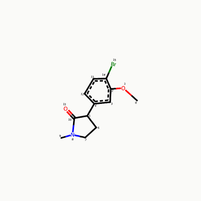 COc1cc(C2CCN(C)C2=O)ccc1Br